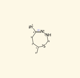 CC1CC/C(C(C)C)=N\NCS1